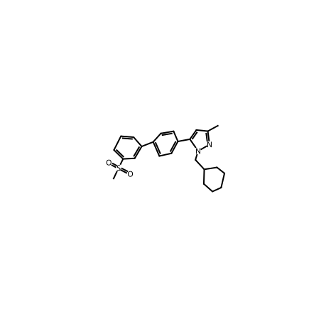 Cc1cc(-c2ccc(-c3cccc(S(C)(=O)=O)c3)cc2)n(CC2CCCCC2)n1